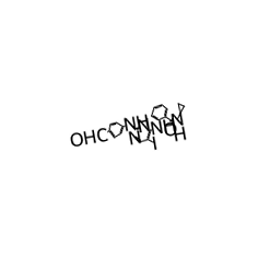 O=Cc1ccc(Nc2ncc(I)c(Nc3ccccc3C(=O)NC3CC3)n2)cc1